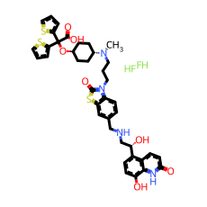 CN(CCCn1c(=O)sc2cc(CNC[C@H](O)c3ccc(O)c4[nH]c(=O)ccc34)ccc21)[C@H]1CC[C@H](OC(C(=O)O)(c2cccs2)c2cccs2)CC1.F.F